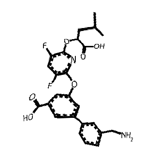 CC(C)CC(Oc1nc(Oc2cc(C(=O)O)cc(-c3cccc(CN)c3)c2)c(F)cc1F)C(=O)O